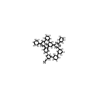 N#Cc1cccc(-c2cccc(-c3cccc(-c4nc(-c5ccccc5)nc(-c5cccc(-c6ccccc6-c6nc(-c7ccccc7)cc(-c7ccccc7)n6)c5)n4)c3)c2)c1